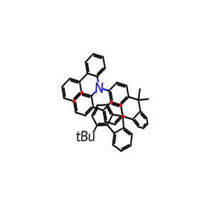 CC(C)(C)c1cccc2c1-c1ccccc1C21c2ccccc2C(C)(C)c2ccc(N(c3ccccc3-c3ccccc3)c3ccccc3-c3ccccc3)cc21